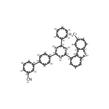 Cc1ccc2sc3cccc(-c4nc(-c5ccccc5)nc(-c5ccc(-c6cccc(C#N)c6)cc5)n4)c3c2c1